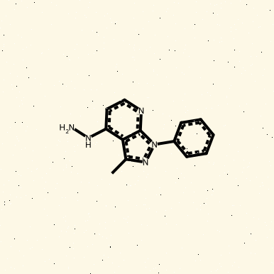 Cc1nn(-c2ccccc2)c2nccc(NN)c12